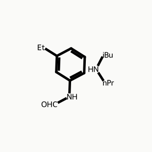 CCCNC(C)CC.CCc1cccc(NC=O)c1